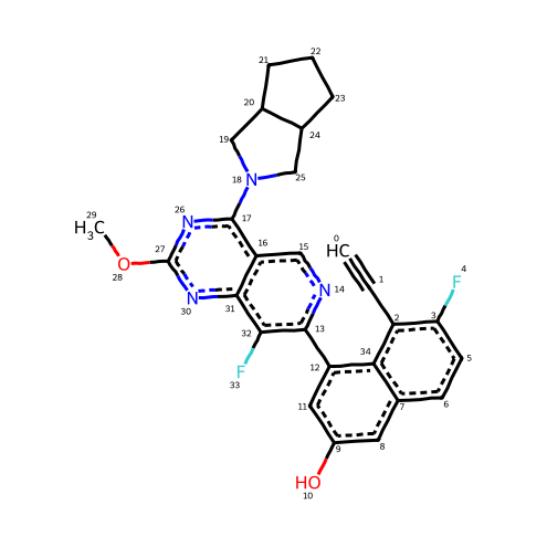 C#Cc1c(F)ccc2cc(O)cc(-c3ncc4c(N5CC6CCCC6C5)nc(OC)nc4c3F)c12